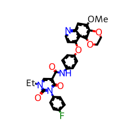 CCn1cc(C(=O)Nc2ccc(Oc3ccnc4cc(OC)c5c(c34)OCCO5)cc2)c(=O)n(-c2ccc(F)cc2)c1=O